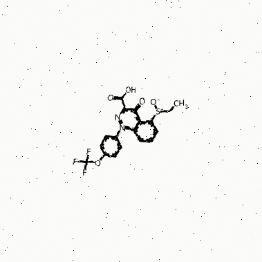 CC[S+]([O-])c1cccc2c1c(=O)c(C(=O)O)nn2-c1ccc(OC(F)(F)F)cc1